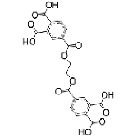 O=C(OCCOC(=O)c1ccc(C(=O)O)c(C(=O)O)c1)c1ccc(C(=O)O)c(C(=O)O)c1